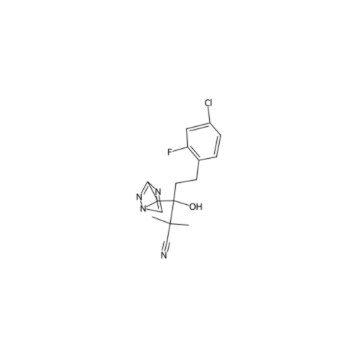 CC(C)(C#N)C(O)(CCc1ccc(Cl)cc1F)C1c2ncn1n2